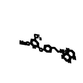 COc1cc(C(F)(F)F)cc(Oc2ccc(CCNc3ncnc4nccnc34)cc2)n1